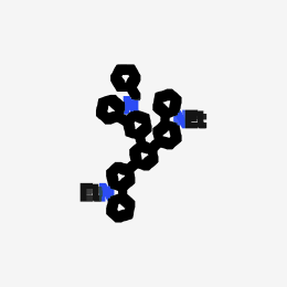 CCn1c2ccccc2c2cc(-c3ccc(-c4ccc5c(c4)c4ccccc4n5CC)c(-c4ccc5c(c4)c4ccccc4n5Cc4ccccc4)c3)ccc21